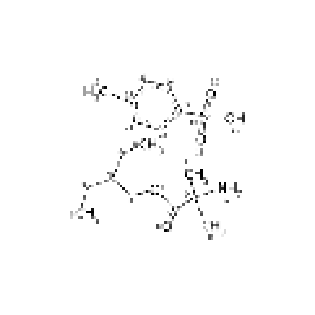 CCC(CC)COC(=O)C(C)(C)N.Cc1ccc(S(=O)(=O)O)cc1